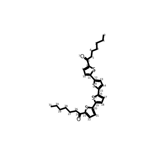 CCCCCCC(=O)c1ccc(-c2ccc(-c3ccc(-c4ccc(C(=O)CCCCCC)s4)s3)s2)s1